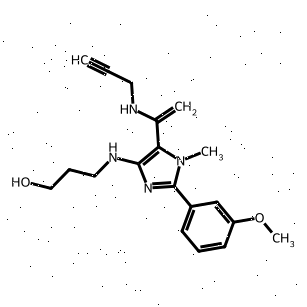 C#CCNC(=C)c1c(NCCCO)nc(-c2cccc(OC)c2)n1C